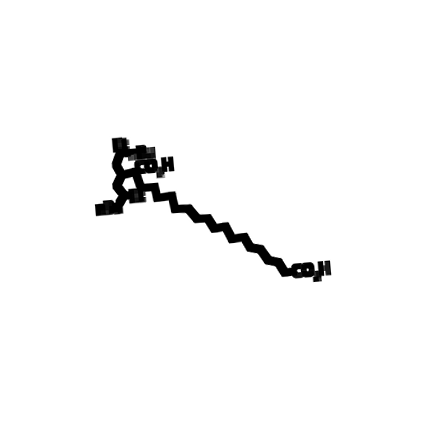 CCCCC(CC)CC(CC(CC)CCCC)C(CCCCCCCCCCCCCCCCCC(=O)O)C(=O)O